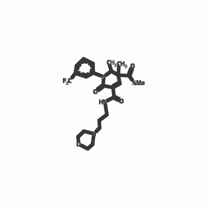 CNC(=O)C1(C)C=C(C(=O)NCCCN2CCOCC2)C(=O)N(c2cccc(C(F)(F)F)c2)C1C